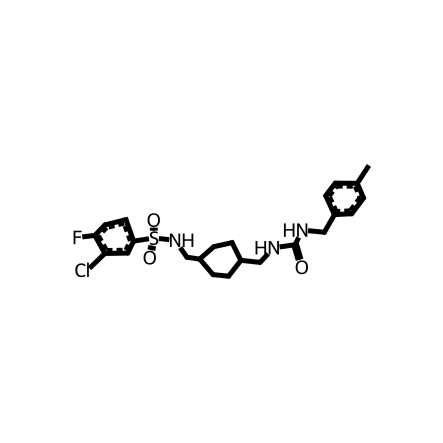 Cc1ccc(CNC(=O)NCC2CCC(CNS(=O)(=O)c3ccc(F)c(Cl)c3)CC2)cc1